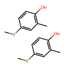 CSc1ccc(O)c(C)c1.CSc1ccc(O)c(C)c1